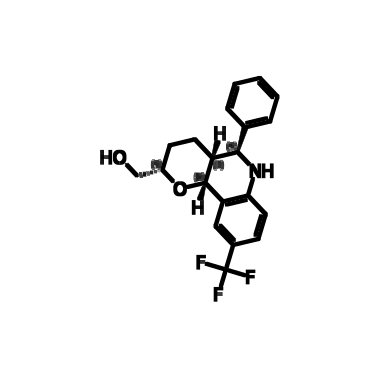 OC[C@@H]1CC[C@@H]2[C@@H](c3ccccc3)Nc3ccc(C(F)(F)F)cc3[C@@H]2O1